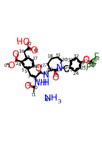 COC(=O)c1cc(C=C(NC(C)=O)C(=O)N[C@H]2CCCCN(Cc3ccc(OC(F)(F)F)cc3)C2=O)ccc1CC(=O)O.N